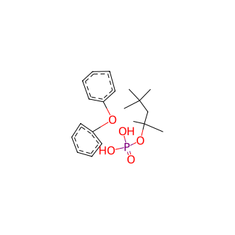 CC(C)(C)CC(C)(C)OP(=O)(O)O.c1ccc(Oc2ccccc2)cc1